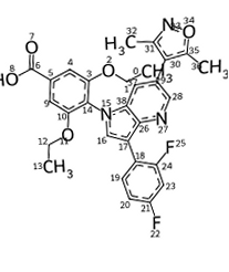 CCOc1cc(C(=O)O)cc(OCC)c1-n1cc(-c2ccc(F)cc2F)c2ncc(-c3c(C)noc3C)cc21